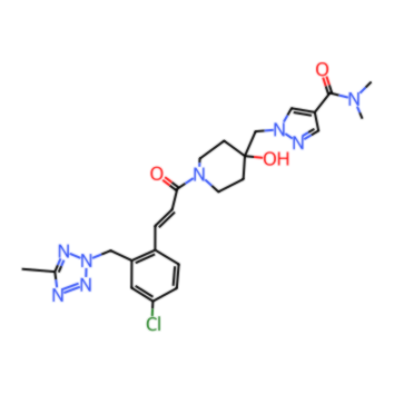 Cc1nnn(Cc2cc(Cl)ccc2C=CC(=O)N2CCC(O)(Cn3cc(C(=O)N(C)C)cn3)CC2)n1